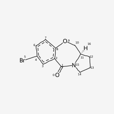 O=C1c2cc(Br)ccc2OC[C@H]2CCCN12